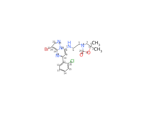 CC1(C)CN(CCNc2cc(-c3ccccc3Cl)nc3c(Br)cnn23)C(=O)O1